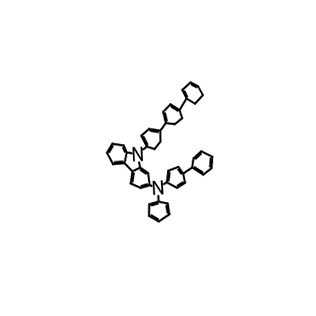 C1=CCCC(C2=CC=C(C3=CC=C(n4c5ccccc5c5ccc(N(c6ccccc6)c6ccc(-c7ccccc7)cc6)cc54)CC3)CC2)=C1